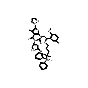 COc1ccc(F)cc1[C@H](Cn1c(=O)n([C@]2(C)CNC(=O)C2)c(=O)c2c(C)c(-n3nccn3)sc21)OCCCC(C)(C)[Si](O)(c1ccccc1)c1ccccc1